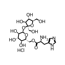 Cl.N[C@@H](Cc1cnc[nH]1)C(=O)OC[C@H]1O[C@H](O[C@]2(CO)O[C@H](CO)[C@@H](O)[C@@H]2O)[C@H](O)[C@@H](O)[C@@H]1O